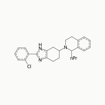 CCCC1c2ccccc2CCN1C1CCc2nc(-c3ccccc3Cl)[nH]c2C1